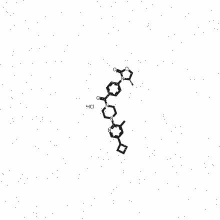 Cc1cc(C2CCC2)cnc1N1CCN(C(=O)c2ccc(N3C(=O)OC[C@H]3C)cc2)CC1.Cl